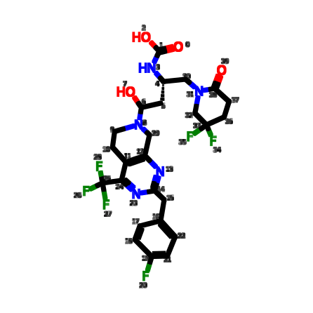 O=C(O)N[C@@H](CC(O)N1CCc2c(nc(Cc3ccc(F)cc3)nc2C(F)(F)F)C1)CN1CC(F)(F)CCC1=O